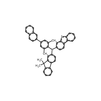 Cc1cc(-c2ccc3ccccc3c2)cc(C)c1N(c1ccc2c(c1)C(C)(C)c1ccccc1-2)c1ccc2c(c1)sc1ccccc12